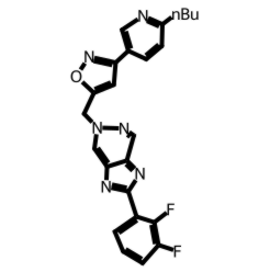 CCCCc1ccc(-c2cc(Cn3cc4nc(-c5cccc(F)c5F)nc-4cn3)on2)cn1